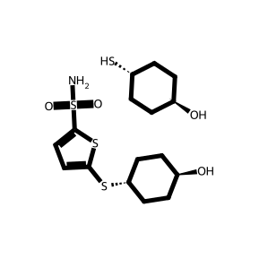 NS(=O)(=O)c1ccc(S[C@H]2CC[C@H](O)CC2)s1.O[C@H]1CC[C@H](S)CC1